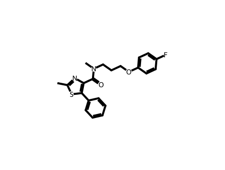 Cc1nc(C(=O)N(C)CCCOc2ccc(F)cc2)c(-c2ccccc2)s1